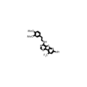 CCCc1cc(C(F)(F)F)c2c(n1)sc1c(NCCc3ccc(OC)c(OC)c3)ncnc12